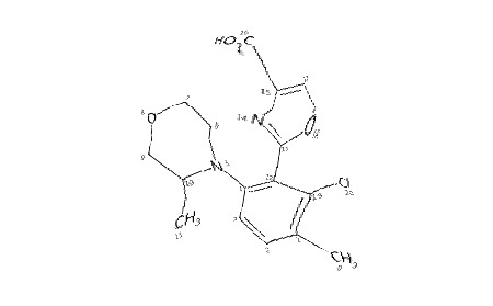 Cc1ccc(N2CCOCC2C)c(-c2nc(C(=O)O)co2)c1Cl